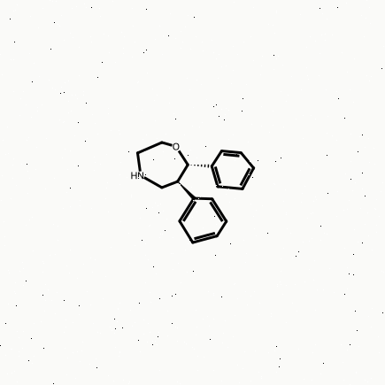 c1ccc([C@H]2CNCCO[C@@H]2c2ccccc2)cc1